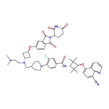 CN(C)CCN(CC1CCN(c2ccc(C(=O)N[C@H]3C(C)(C)[C@H](Oc4ccc(C#N)c5ncccc45)C3(C)C)cc2F)CC1)[C@H]1C[C@H](Oc2ccc3c(c2)C(=O)N(C2CCC(=O)NC2=O)C3=O)C1